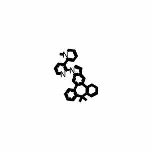 CN1CC=CC=C1c1cccnc1-n1ccc2cc3c(cc21)-c1ccccc1C(C)(C)C1=C3CCC=C1